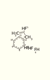 C=CC.F.F.F.F.c1ccccc1